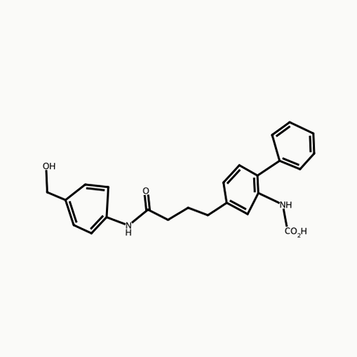 O=C(O)Nc1cc(CCCC(=O)Nc2ccc(CO)cc2)ccc1-c1ccccc1